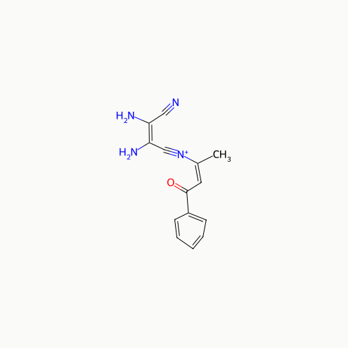 CC(=CC(=O)c1ccccc1)[N+]#C/C(N)=C(/N)C#N